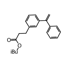 C=C(c1ccccc1)c1cccc(CCC(=O)OC(C)CC)c1